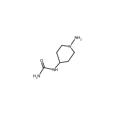 NC(=O)NC1CCN(N)CC1